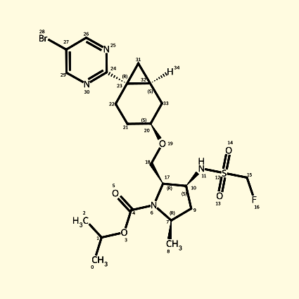 CC(C)OC(=O)N1[C@H](C)C[C@H](NS(=O)(=O)CF)[C@@H]1CO[C@H]1CC[C@@]2(c3ncc(Br)cn3)C[C@H]2C1